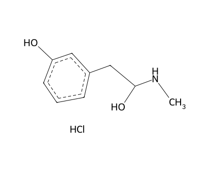 CNC(O)Cc1cccc(O)c1.Cl